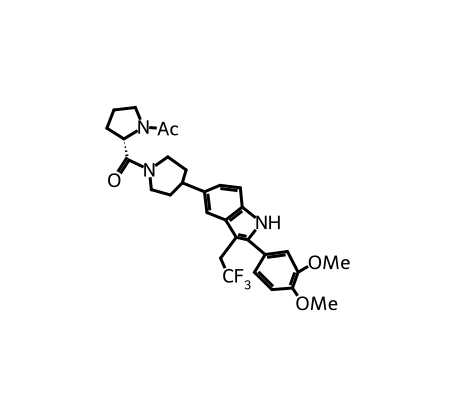 COc1ccc(-c2[nH]c3ccc(C4CCN(C(=O)[C@@H]5CCCN5C(C)=O)CC4)cc3c2CC(F)(F)F)cc1OC